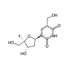 O=c1[nH]c(=O)n([C@H]2C[C@H](O)[C@@](F)(CO)O2)cc1CO